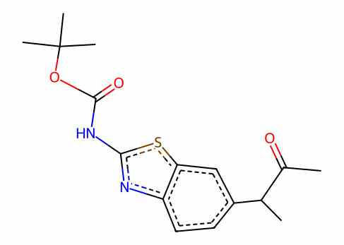 CC(=O)C(C)c1ccc2nc(NC(=O)OC(C)(C)C)sc2c1